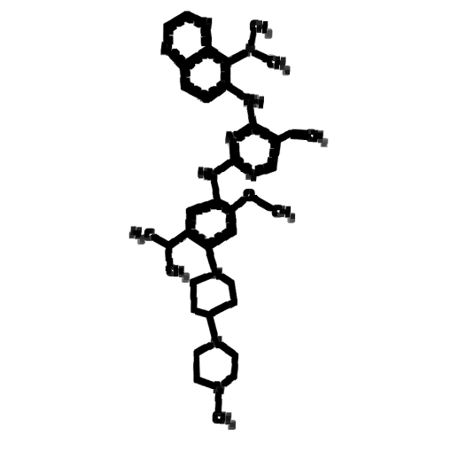 C=Cc1cnc(Nc2cc(C(C)C)c(N3CCC(N4CCN(C)CC4)CC3)cc2OC)nc1Nc1ccc2nccnc2c1P(C)C